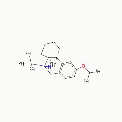 [2H]C([2H])Oc1ccc2c(c1)[C@]13CCCC[C@@H]1C(C2)N(C([2H])([2H])[2H])CC3